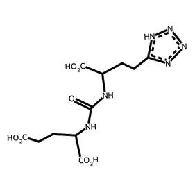 O=C(O)CCC(NC(=O)NC(CCc1nnn[nH]1)C(=O)O)C(=O)O